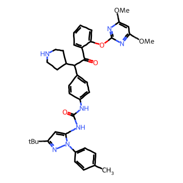 COc1cc(OC)nc(Oc2ccccc2C(=O)C(c2ccc(NC(=O)Nc3cc(C(C)(C)C)nn3-c3ccc(C)cc3)cc2)C2CCNCC2)n1